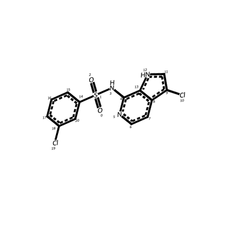 O=S(=O)(Nc1nccc2c(Cl)c[nH]c12)c1cccc(Cl)c1